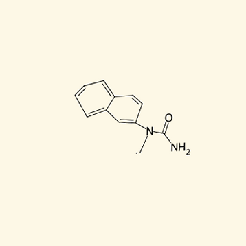 [CH2]N(C(N)=O)c1ccc2ccccc2c1